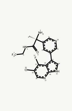 C[C@@](N)(C(=O)NCC(F)(F)F)c1cncc(-c2c[nH]c3ncc(Cl)c(F)c23)c1